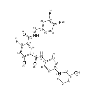 Cc1cc(N2CCCC(O)C2)ccc1NC(=O)c1cc(C(=O)NCc2ccc(F)c(F)c2)c(F)cc1Cl